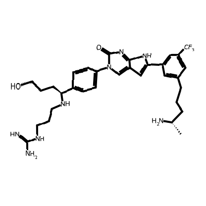 C[C@H](N)CCCc1cc(-c2cc3cn(-c4ccc([C@H](CCCO)NCCCNC(=N)N)cc4)c(=O)nc3[nH]2)cc(C(F)(F)F)c1